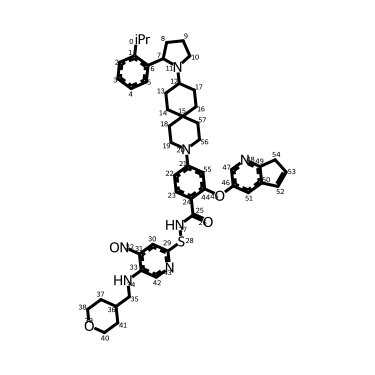 CC(C)c1ccccc1C1CCCN1C1CCC2(CC1)CCN(c1ccc(C(=O)NSc3cc(N=O)c(NCC4CCOCC4)cn3)c(Oc3cnc4c(c3)C=CC4)c1)CC2